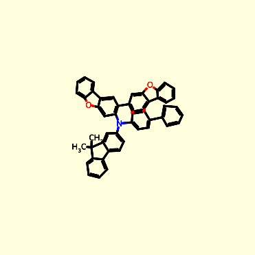 CC1(C)c2ccccc2-c2ccc(N(c3ccc(-c4ccccc4)cc3)c3cc4oc5ccccc5c4cc3-c3ccc4c(c3)oc3ccccc34)cc21